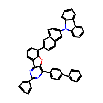 c1ccc(-c2ccc(-c3nc(-c4ccccc4)nc4c3oc3c(-c5ccc6cc(-n7c8ccccc8c8ccccc87)ccc6c5)cccc34)cc2)cc1